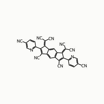 N#CC(C#N)=C1C(c2ccc(C#N)cn2)=C(C#N)c2cc3c(cc21)C(=C(C#N)C#N)C(c1ccc(C#N)cn1)=C3C#N